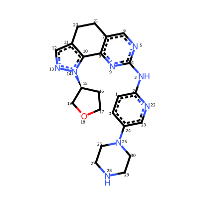 c1cc(Nc2ncc3c(n2)-c2c(cnn2[C@H]2CCOC2)CC3)ncc1N1CCNCC1